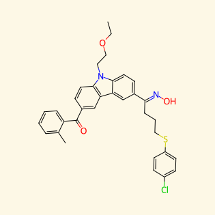 CCOCCn1c2ccc(C(=O)c3ccccc3C)cc2c2cc(C(CCCSc3ccc(Cl)cc3)=NO)ccc21